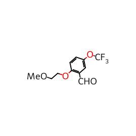 COCCOc1ccc(OC(F)(F)F)cc1C=O